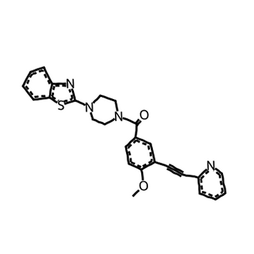 COc1ccc(C(=O)N2CCN(c3nc4ccccc4s3)CC2)cc1C#Cc1ccccn1